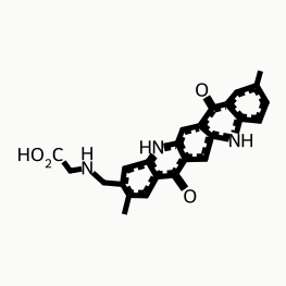 Cc1ccc2[nH]c3cc4c(=O)c5cc(C)c(CNCC(=O)O)cc5[nH]c4cc3c(=O)c2c1